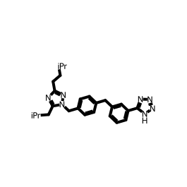 CC(C)CCc1nc(CC(C)C)n(Cc2ccc(Cc3cccc(-c4nnn[nH]4)c3)cc2)n1